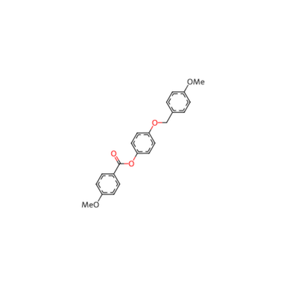 COc1ccc(COc2ccc(OC(=O)c3ccc(OC)cc3)cc2)cc1